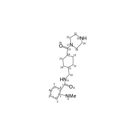 CNc1ccccc1C(=O)NCC1CCC(C(=O)N2CCNCC2)CC1